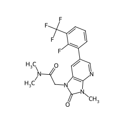 CN(C)C(=O)Cn1c(=O)n(C)c2ncc(-c3cccc(C(F)(F)F)c3F)cc21